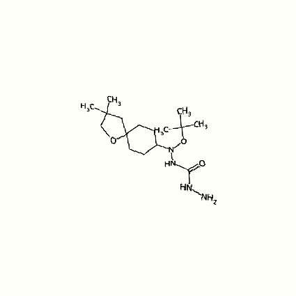 CC1(C)COC2(CCC(N(NC(=O)NN)OC(C)(C)C)CC2)C1